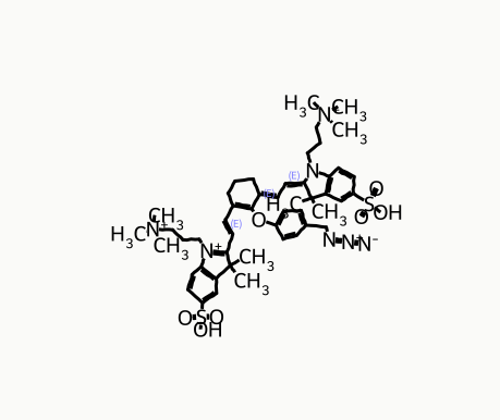 CC1(C)C(/C=C/C2=C(Oc3ccc(CN=[N+]=[N-])cc3)C(=C/C=C3/N(CCC[N+](C)(C)C)c4ccc(S(=O)(=O)O)cc4C3(C)C)/CCC2)=[N+](CCC[N+](C)(C)C)c2ccc(S(=O)(=O)O)cc21